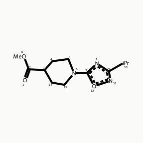 COC(=O)C1CCN(c2nc(C(C)C)no2)CC1